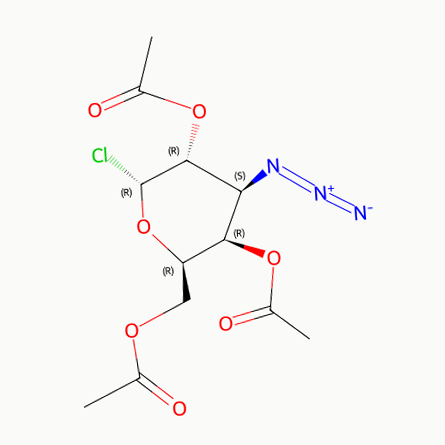 CC(=O)OC[C@H]1O[C@H](Cl)[C@H](OC(C)=O)[C@@H](N=[N+]=[N-])[C@H]1OC(C)=O